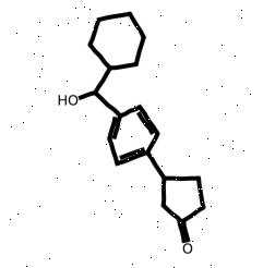 O=C1CCC(c2ccc(C(O)C3CCCCC3)cc2)C1